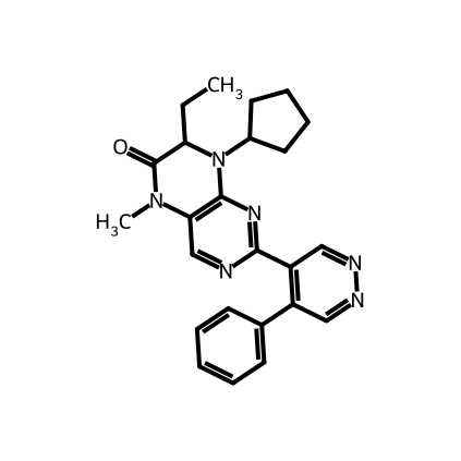 CCC1C(=O)N(C)c2cnc(-c3cnncc3-c3ccccc3)nc2N1C1CCCC1